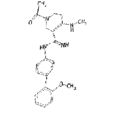 CNC1=C(C(=N)Nc2ccc(-c3ccccc3OC)cc2)CN(C(C)=O)CC1